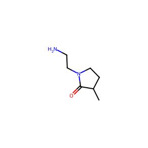 CC1CCN(CCN)C1=O